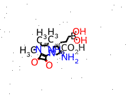 CC([C@@H](C)N)N(C)c1c(N2C[C@H](CCCB(O)O)[C@](N)(C(=O)O)C2)c(=O)c1=O